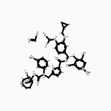 O=C(O[C@@H](Cc1c(Cl)c[n+](O)cc1Cl)c1ccc(OC(F)F)c(OCC2CC2)c1)c1ccc(CN(C(=O)O[C@H]2CN3CCC2CC3)c2cccc(O)c2)s1.O=C[O-]